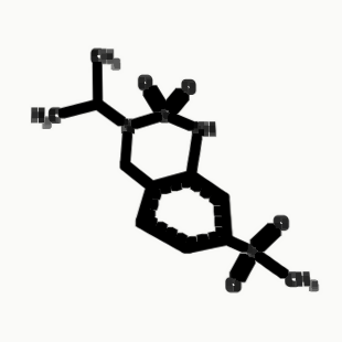 CC(C)N1Cc2ccc(S(C)(=O)=O)cc2NS1(=O)=O